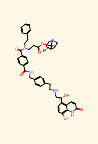 O=C(CCN(CCc1ccccc1)C(=O)c1ccc(C(=O)NCc2ccc(CCNC[C@H](O)c3ccc(O)c4[nH]c(=O)ccc34)cc2)cc1)O[C@H]1CN2CCC1CC2